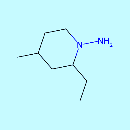 CCC1CC(C)CCN1N